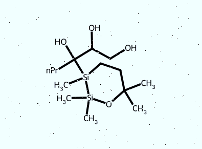 CCCC(O)(C(O)CO)[Si]1(C)CCC(C)(C)O[Si]1(C)C